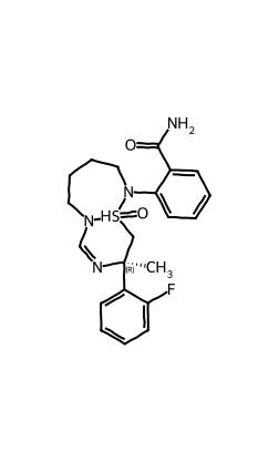 C[C@@]1(c2ccccc2F)C[SH]2(=O)N(C=N1)CCCCN2c1ccccc1C(N)=O